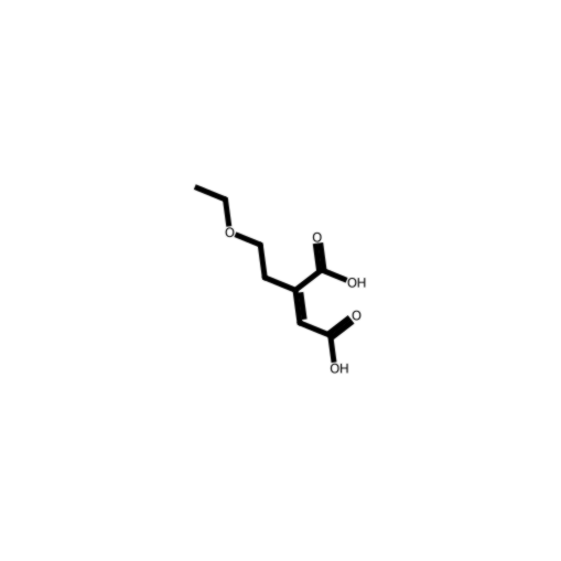 CCOCCC(=CC(=O)O)C(=O)O